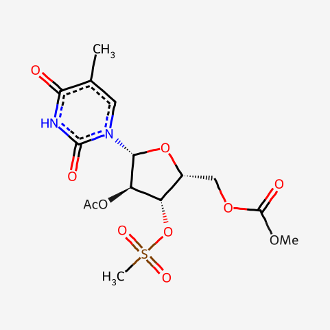 COC(=O)OC[C@H]1O[C@@H](n2cc(C)c(=O)[nH]c2=O)[C@H](OC(C)=O)[C@H]1OS(C)(=O)=O